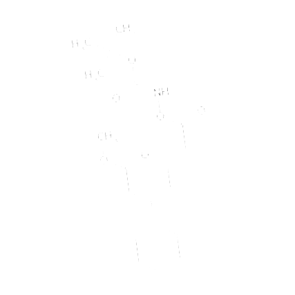 COC(=O)CC(CCCC(=O)ONC(=O)OC(C)(C)C)C1CCCCC1